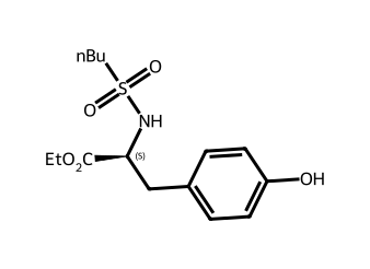 CCCCS(=O)(=O)N[C@@H](Cc1ccc(O)cc1)C(=O)OCC